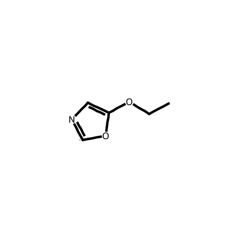 CCOc1cn[c]o1